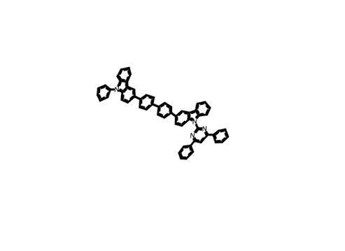 c1ccc(-c2cc(-c3ccccc3)nc(-n3c4ccccc4c4cc(-c5ccc(-c6ccc(-c7ccc8c(c7)c7ccccc7n8-c7ccccc7)cc6)cc5)ccc43)n2)cc1